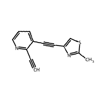 C#Cc1ncccc1C#Cc1csc(C)n1